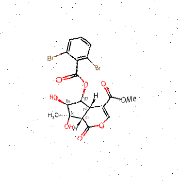 COC(=O)C1=COC(=O)[C@H]2[C@@H]1[C@H](OC(=O)c1c(Br)cccc1Br)[C@H](O)[C@]2(C)O